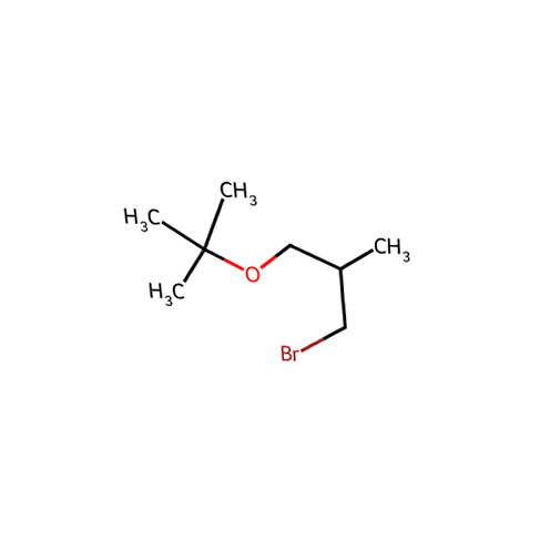 CC(CBr)COC(C)(C)C